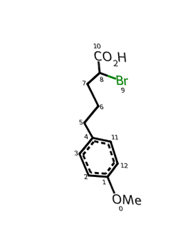 COc1ccc(CCCC(Br)C(=O)O)cc1